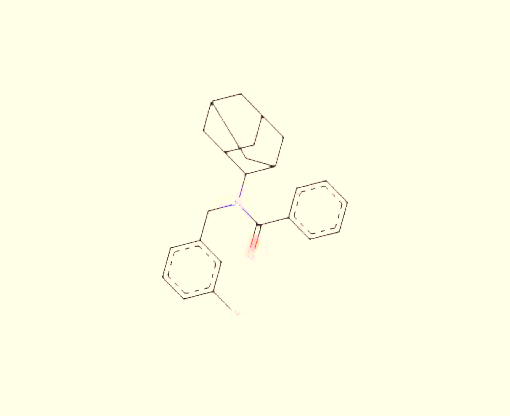 Bc1cccc(CN(C(=O)c2ccccc2)C2C3CC4CC(C3)CC2C4)c1